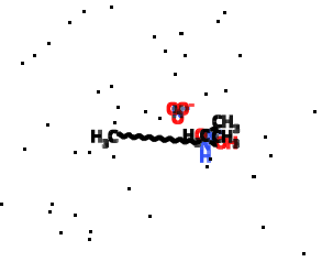 CCCCCCCCCCCCCCCCCC(=O)NC(CO)[N+](C)(C)CCC.O=[N+]([O-])[O-]